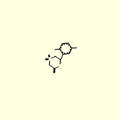 C[C@@]1(c2cc(Br)ccc2F)CS(=O)(=O)CC(=O)N1